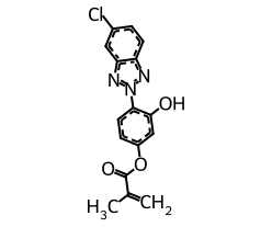 C=C(C)C(=O)Oc1ccc(-n2nc3ccc(Cl)cc3n2)c(O)c1